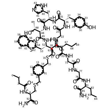 CCCC(=O)N[C@@H](CSCc1cccc(CSCCC(=O)NCC(=O)N[C@@H](Cc2ccc(O)cc2)C(=O)N[C@@H](Cc2cnc[nH]2)C(=O)N[C@H](C(=O)N[C@@H](Cc2nc3ccccc3s2)C(=O)N[C@@H](CCC)C(=O)NCC(=O)NCC(=O)N[C@@H](CCC)C(N)=O)[C@@H](C)O)c1)C(N)=O